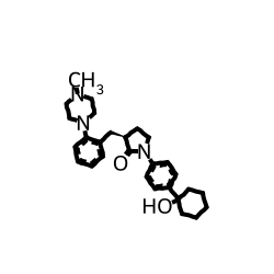 CN1CCN(c2ccccc2C[C@H]2CCN(c3ccc(C4(O)CCCCC4)cc3)C2=O)CC1